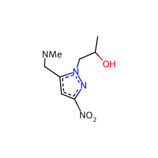 CNCc1cc([N+](=O)[O-])nn1CC(C)O